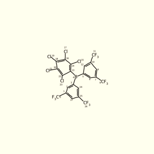 FC(F)(F)c1cc(B(c2cc(C(F)(F)F)cc(C(F)(F)F)c2)c2c(Cl)c(Cl)c(Cl)c(Cl)c2Cl)cc(C(F)(F)F)c1